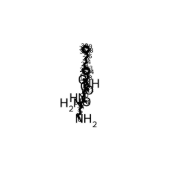 NCCCCC(N)C(=O)NCCC(=O)ONC(=O)Cc1ccc(CCCCc2ccccc2)cc1